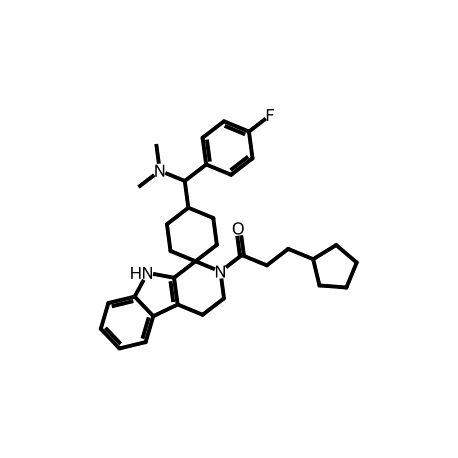 CN(C)C(c1ccc(F)cc1)C1CCC2(CC1)c1[nH]c3ccccc3c1CCN2C(=O)CCC1CCCC1